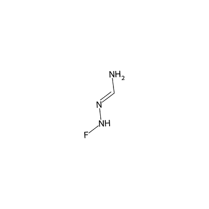 N/C=N/NF